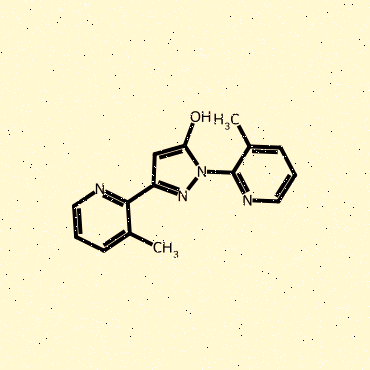 Cc1cccnc1-c1cc(O)n(-c2ncccc2C)n1